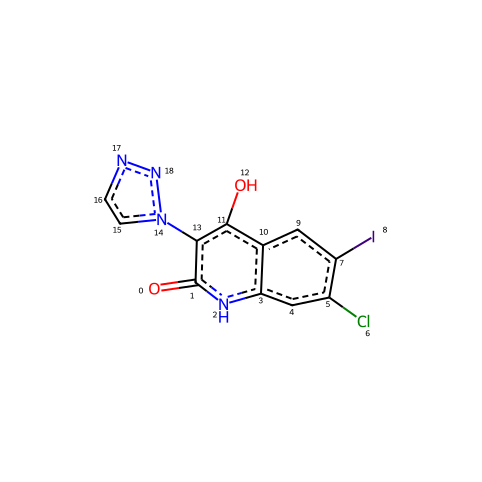 O=c1[nH]c2cc(Cl)c(I)cc2c(O)c1-n1ccnn1